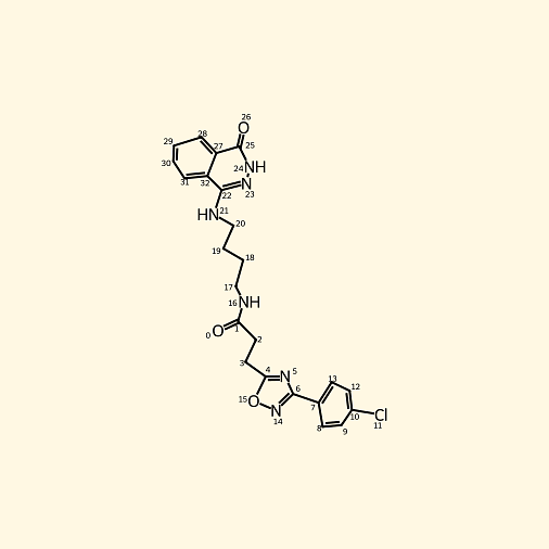 O=C(CCc1nc(-c2ccc(Cl)cc2)no1)NCCCCNc1n[nH]c(=O)c2ccccc12